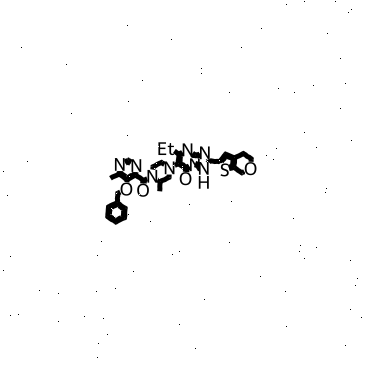 CCc1nc2nc(-c3cc4c(s3)COCC4)[nH]n2c(=O)c1N1CCN(C(=O)c2ncnc(C)c2OCc2ccccc2)C(C)C1